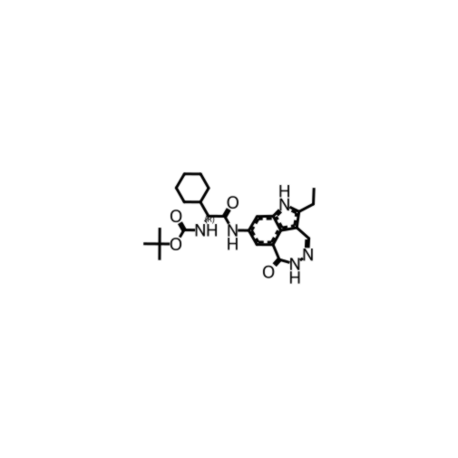 CCc1[nH]c2cc(NC(=O)[C@H](NC(=O)OC(C)(C)C)C3CCCCC3)cc3c2c1C=NNC3=O